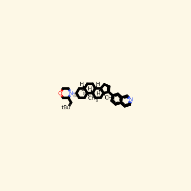 CC(C)(C)CC1COCCN1[C@H]1CC[C@@]2(C)[C@@H](CC[C@@H]3[C@@H]2CC[C@]2(C)C(c4ccc5ccncc5c4)=CC[C@@H]32)C1